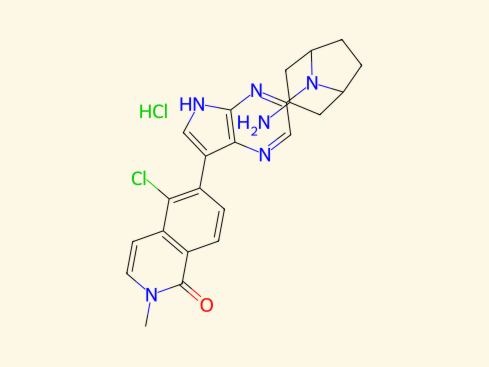 Cl.Cn1ccc2c(Cl)c(-c3c[nH]c4nc(N5C6CCC5CC(N)C6)cnc34)ccc2c1=O